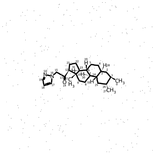 C[C@@H]1C[C@@H]2CC[C@@H]3[C@H](CC[C@]4(C)[C@@H](C(=O)Cn5cccn5)CC[C@@H]34)[C@H]2C[C@H]1C